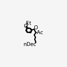 CCCCCCCCCCCCCCC(C(C)=O)C(=O)c1cccc(OCC)c1